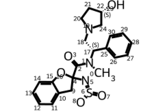 CN(C(=O)C1(N=S(=O)=O)Cc2ccccc2O1)[C@H](CN1CC[C@H](O)C1)c1ccccc1